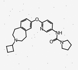 O=C(Nc1ccc(Oc2ccc3c(c2)CCN(C2CCC2)CC3)nc1)N1CCCC1